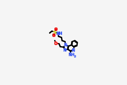 CCS(=O)(=O)NCCCCn1c(CCOC)nc2c(N)nc3ccccc3c21